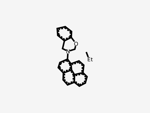 CCC.c1ccc2c(c1)CN(c1ccc3ccc4cccc5ccc1c3c45)CO2